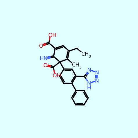 CCC1=C(C)C(C(=O)O)(c2ccc(-c3ccccc3)c(-c3nnn[nH]3)c2)C(=N)C(C(=O)O)=C1